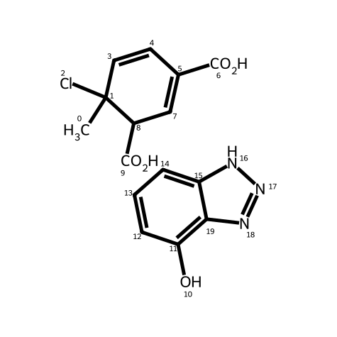 CC1(Cl)C=CC(C(=O)O)=CC1C(=O)O.Oc1cccc2[nH]nnc12